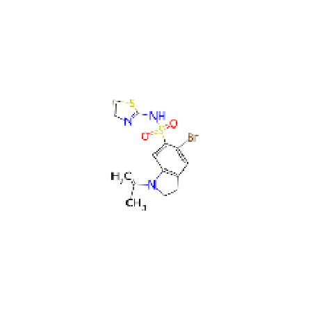 C=C(C)N1CCc2cc(Br)c(S(=O)(=O)Nc3nccs3)cc21